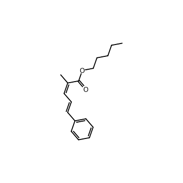 CCCCCOC(=O)C(C)=CC=Cc1ccccc1